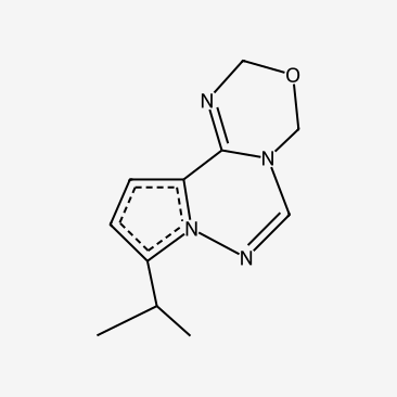 CC(C)c1ccc2n1N=CN1COCN=C21